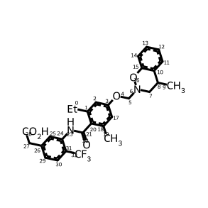 CCc1cc(OCN2CC(C)c3ccccc3O2)cc(C)c1C(=O)Nc1cc(CC(=O)O)ccc1C(F)(F)F